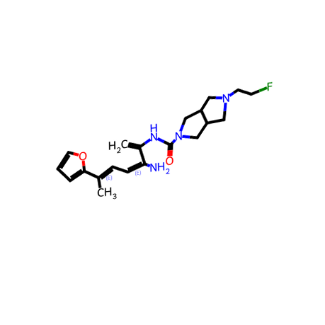 C=C(NC(=O)N1CC2CN(CCF)CC2C1)/C(N)=C\C=C(/C)c1ccco1